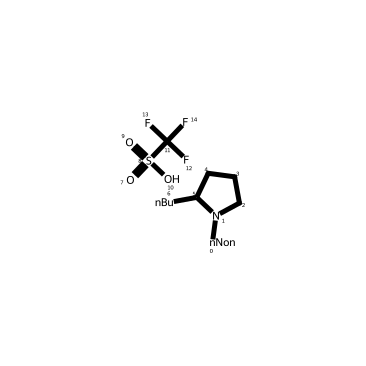 CCCCCCCCCN1CCCC1CCCC.O=S(=O)(O)C(F)(F)F